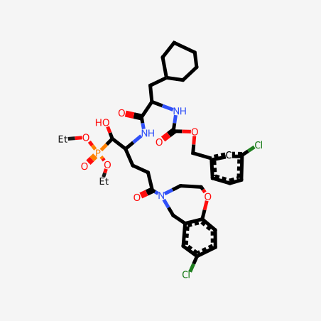 CCOP(=O)(OCC)C(O)C(CCC(=O)N1CCOc2ccc(Cl)cc2C1)NC(=O)C(CC1CCCCC1)NC(=O)OCc1cccc(Cl)c1